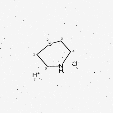 C1CSCCN1.[Cl-].[H+]